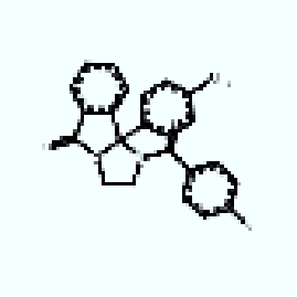 Cc1ccc(C23c4ccccc4C(=O)N2CCN3C(=O)c2ccc(F)cc2)cc1